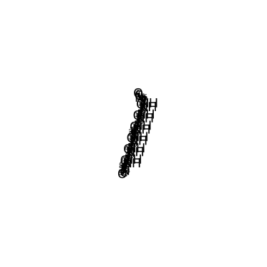 O=C=Nc1cccc(NC(=O)NCCCNC(=O)NCCCNC(=O)Nc2cccc(NC(=O)NCCCNC(=O)NCCCNC(=O)Nc3cccc(N=C=O)c3)c2)c1